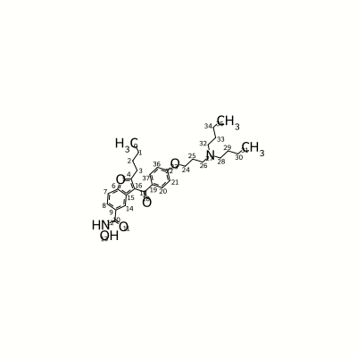 CCCCc1oc2ccc(C(=O)NO)cc2c1C(=O)c1ccc(OCCCN(CCCC)CCCC)cc1